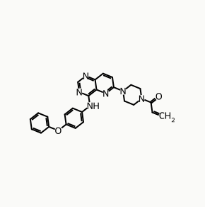 C=CC(=O)N1CCN(c2ccc3ncnc(Nc4ccc(Oc5ccccc5)cc4)c3n2)CC1